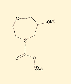 COC1COCCN(C(=O)OC(C)(C)C)C1